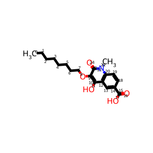 CCCCCCCCOc1c(O)c2cc(C(=O)O)ccc2n(C)c1=O